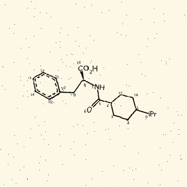 CC(C)C1CCC(C(=O)N[C@@H](Cc2ccccc2)C(=O)O)CC1